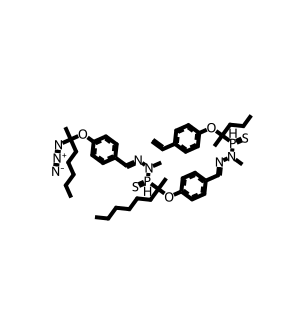 C=Cc1ccc(OC(C)(CCC)[PH](=S)N(C)/N=C/c2ccc(OC(C)(CCCCCC)[PH](=S)N(C)/N=C/c3ccc(OC(C)(CCCCC)N=[N+]=[N-])cc3)cc2)cc1